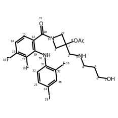 CC(=O)OC1(CNCCCO)CN(C(=O)c2ccc(F)c(F)c2Nc2ccc(I)cc2F)C1